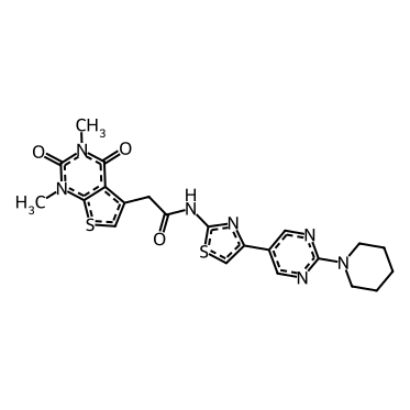 Cn1c(=O)c2c(CC(=O)Nc3nc(-c4cnc(N5CCCCC5)nc4)cs3)csc2n(C)c1=O